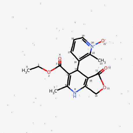 CCOC(=O)C1=C(C)NC2=C(C(=O)OC2)C1c1ccc[n+]([O-])c1C